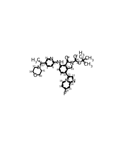 C[C@@H](c1ccc(Nc2ccc(-c3cnc4cc(F)ccn34)c3c2C(=O)N(C(=O)OC(C)(C)C)C3)nc1)N1CCOCC1